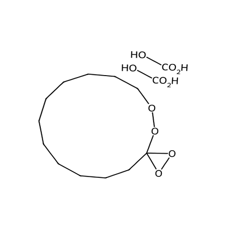 C1CCCCCOOC2(CCCCC1)OO2.O=C(O)O.O=C(O)O